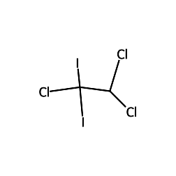 ClC(Cl)C(Cl)(I)I